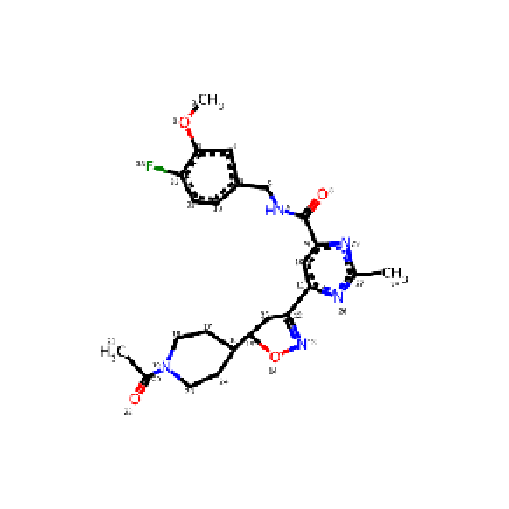 COc1cc(CNC(=O)c2cc(C3=NOC(C4CCN(C(C)=O)CC4)C3)nc(C)n2)ccc1F